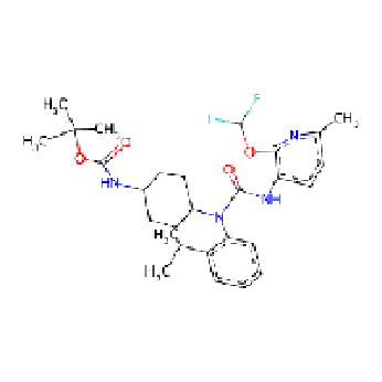 Cc1ccc(NC(=O)N(c2ccccc2C(C)C)C2CCC(NC(=O)OC(C)(C)C)CC2)c(OC(F)F)n1